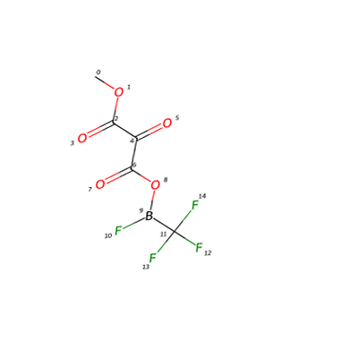 COC(=O)C(=O)C(=O)OB(F)C(F)(F)F